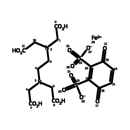 O=C(O)CN(CCN(CC(=O)O)CC(=O)O)CC(=O)O.O=C1C=CC(=O)C(S(=O)(=O)[O-])=C1S(=O)(=O)[O-].[Fe+2]